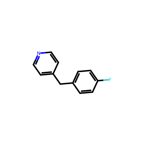 Fc1ccc(Cc2ccncc2)cc1